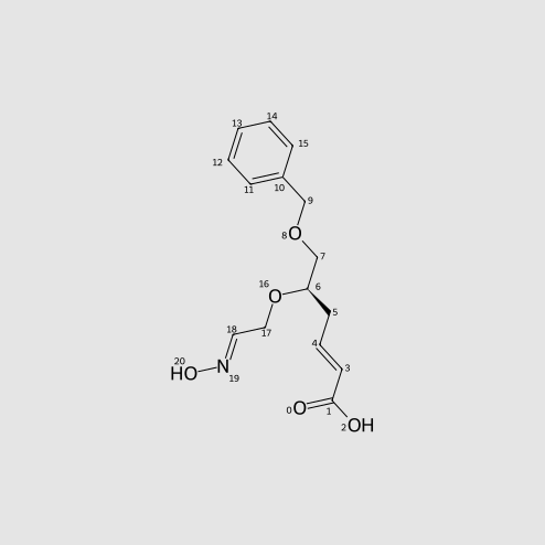 O=C(O)/C=C/C[C@H](COCc1ccccc1)OC/C=N/O